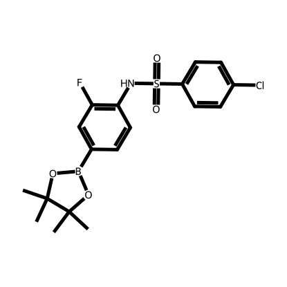 CC1(C)OB(c2ccc(NS(=O)(=O)c3ccc(Cl)cc3)c(F)c2)OC1(C)C